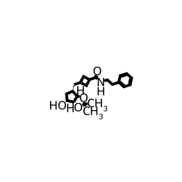 CC1(C)O[C@@H]2[C@@H](CC3CC(C(=O)NCCc4ccccc4)C3)C[C@H](O)[C@@H]2O1